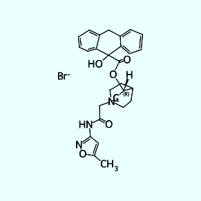 Cc1cc(NC(=O)C[N+]23CCC(CC2)[C@@H](OC(=O)C2(O)c4ccccc4Cc4ccccc42)C3)no1.[Br-]